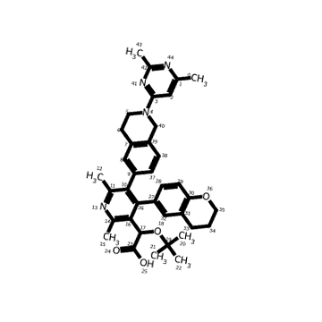 Cc1cc(N2CCc3cc(-c4c(C)nc(C)c(C(OC(C)(C)C)C(=O)O)c4-c4ccc5c(c4)CCCO5)ccc3C2)nc(C)n1